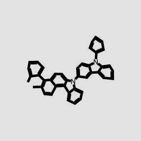 Cc1ccccc1-c1c(C)ccc2c1ccc1c2c2ccccc2n1-c1ccc2c(c1)c1ccccc1n2-c1ccccc1